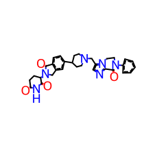 O=C1CCC(N2Cc3cc(C4CCN(Cc5cnc6n5CCN(c5ccccc5)C6=O)CC4)ccc3C2=O)C(=O)N1